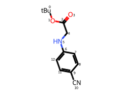 CC(C)(C)OC(=O)CNc1ccc(C#N)cc1